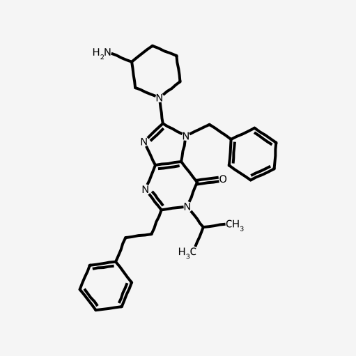 CC(C)n1c(CCc2ccccc2)nc2nc(N3CCCC(N)C3)n(Cc3ccccc3)c2c1=O